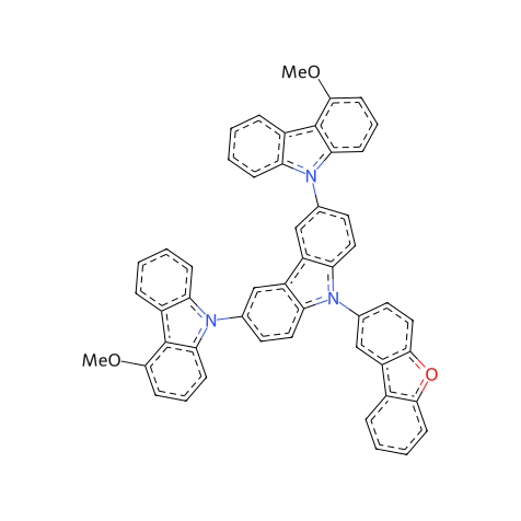 COc1cccc2c1c1ccccc1n2-c1ccc2c(c1)c1cc(-n3c4ccccc4c4c(OC)cccc43)ccc1n2-c1ccc2oc3ccccc3c2c1